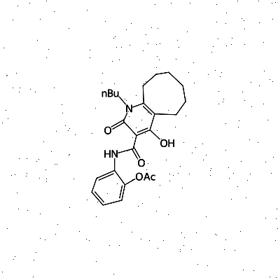 CCCCn1c2c(c(O)c(C(=O)Nc3ccccc3OC(C)=O)c1=O)CCCCCC2